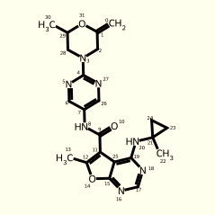 C=C1CN(c2ncc(NC(=O)c3c(C)oc4ncnc(NC5(C)CC5)c34)cn2)CC(C)O1